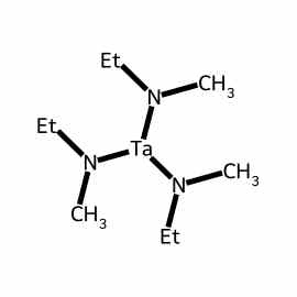 CC[N](C)[Ta]([N](C)CC)[N](C)CC